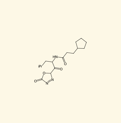 CC(C)CC(NC(=O)CCC1CCCC1)C(=O)C1N=NC(=O)O1